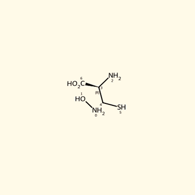 NO.N[C@@H](CS)C(=O)O